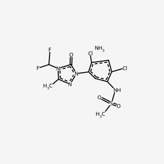 Cc1nn(-c2cc(NS(C)(=O)=O)c(Cl)cc2Cl)c(=O)n1C(F)F.N